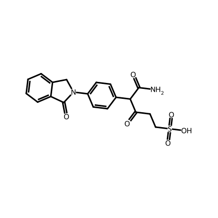 NC(=O)C(C(=O)CCS(=O)(=O)O)c1ccc(N2Cc3ccccc3C2=O)cc1